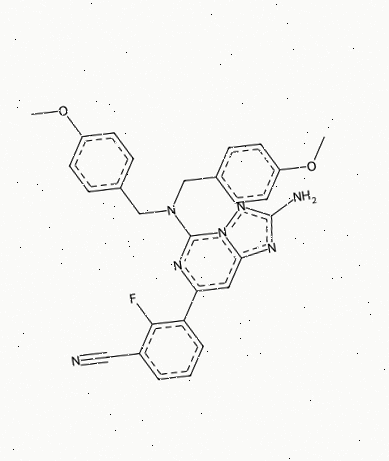 COc1ccc(CN(Cc2ccc(OC)cc2)c2nc(-c3cccc(C#N)c3F)cc3nc(N)nn23)cc1